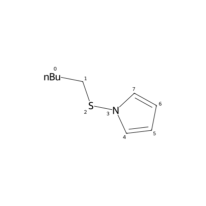 CCCCCSn1cccc1